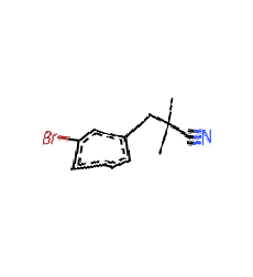 CC(C)(C#N)Cc1cccc(Br)c1